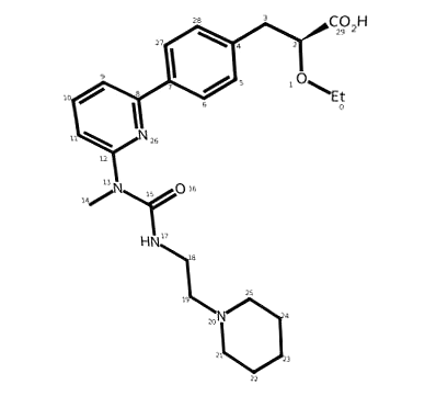 CCO[C@@H](Cc1ccc(-c2cccc(N(C)C(=O)NCCN3CCCCC3)n2)cc1)C(=O)O